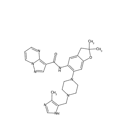 Cc1nc[nH]c1CN1CCN(c2cc3c(cc2NC(=O)c2cnn4cccnc24)CC(C)(C)O3)CC1